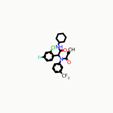 C#CC(=O)N(c1cccc(C(F)(F)F)c1)C(C(=O)NC1CCCCC1)c1ccc(F)cc1Cl